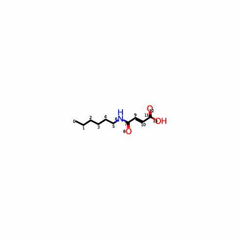 CCCCCCNC(=O)/C=C/C(=O)O